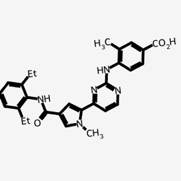 CCc1cccc(CC)c1NC(=O)c1cc(-c2ccnc(Nc3ccc(C(=O)O)cc3C)n2)n(C)c1